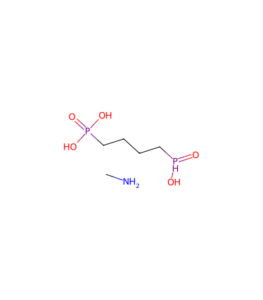 CN.O=[PH](O)CCCCP(=O)(O)O